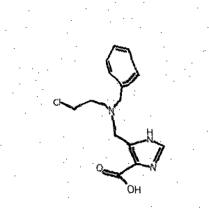 O=C(O)c1nc[nH]c1CN(CCCl)Cc1ccccc1